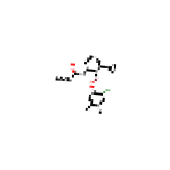 CNC(=O)Cc1cccc(C2CC2)c1COc1cc(C)c(C)cc1Cl